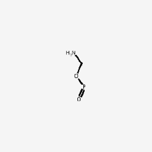 NCOP=O